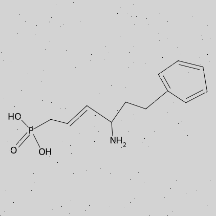 NC(/C=C/CP(=O)(O)O)CCc1ccccc1